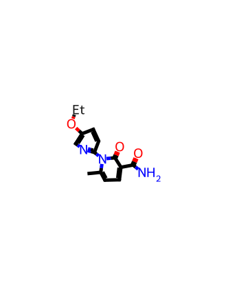 CCOc1ccc(-n2c(C)ccc(C(N)=O)c2=O)nc1